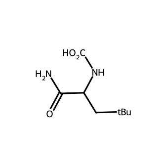 CC(C)(C)CC(NC(=O)O)C(N)=O